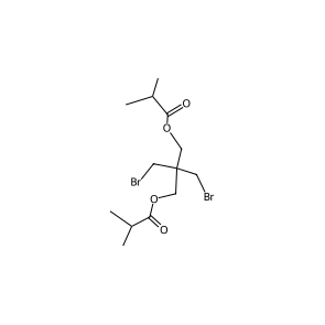 CC(C)C(=O)OCC(CBr)(CBr)COC(=O)C(C)C